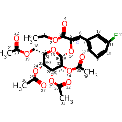 CCOC(=O)/C(=C/c1cccc(F)c1)O[C@H]1O[C@@H](COC(C)=O)[C@@H](OC(C)=O)[C@@H](OC(C)=O)[C@@H]1OC(C)=O